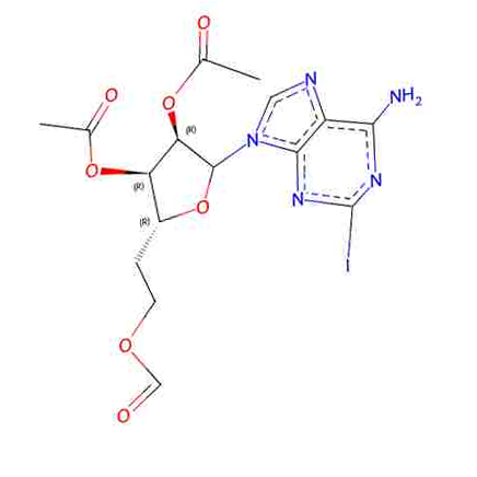 CC(=O)O[C@@H]1[C@@H](CCOC=O)OC(n2cnc3c(N)nc(I)nc32)[C@@H]1OC(C)=O